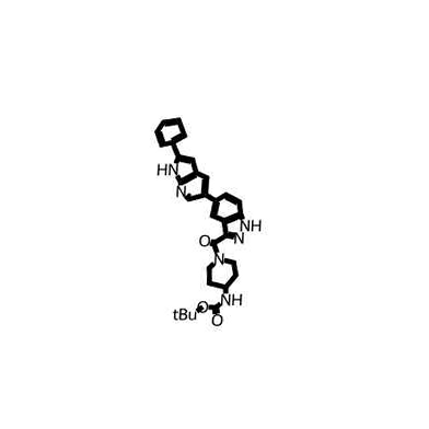 CC(C)(C)OC(=O)NC1CCN(C(=O)c2n[nH]c3ccc(-c4cnc5[nH]c(-c6ccccc6)cc5c4)cc23)CC1